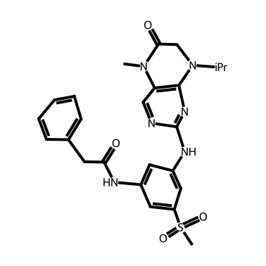 CC(C)N1CC(=O)N(C)c2cnc(Nc3cc(NC(=O)Cc4ccccc4)cc(S(C)(=O)=O)c3)nc21